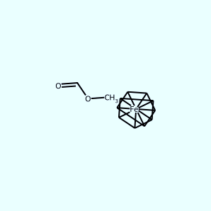 COC=O.[CH]12[CH]3[CH]4[CH]5[CH]1[Fe]23451678[CH]2[CH]1[CH]6[CH]7[CH]28